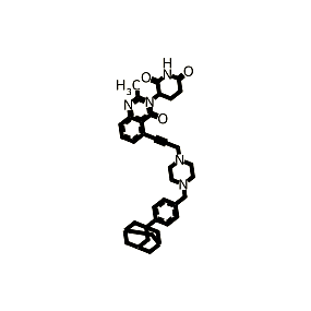 Cc1nc2cccc(C#CCN3CCN(Cc4ccc(C56CC7CC(CC(C7)C5)C6)cc4)CC3)c2c(=O)n1C1CCC(=O)NC1=O